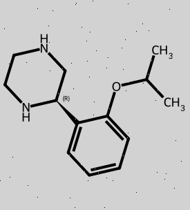 CC(C)Oc1ccccc1[C@@H]1CNCCN1